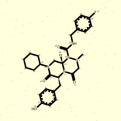 CN1CC(=O)N2[C@@H](Cc3ccc(O)cc3)C(=O)N(C3CCCCC3)C[C@@H]2N1C(=O)NCc1ccc(F)cc1